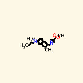 CCCCN(C)c1ccc2c(c1)C[C@H](C)C(CN1CC(C(=O)OC)C1)=C2